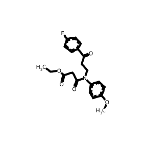 CCOC(=O)CC(=O)N(CCC(=O)c1ccc(F)cc1)c1ccc(OC)cc1